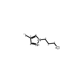 ClCCCn1cc(I)cn1